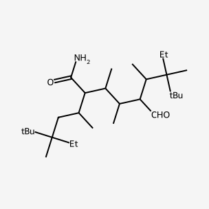 CCC(C)(CC(C)C(C(N)=O)C(C)C(C)C(C=O)C(C)C(C)(CC)C(C)(C)C)C(C)(C)C